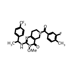 COn1c(NC(C)c2ccc(C(F)(F)F)cc2)nc2c(c1=O)CN(C(=O)c1ccc(C)c(F)c1)CC2